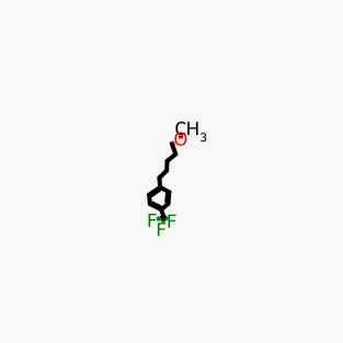 COCCCCCc1ccc(C(F)(F)F)cc1